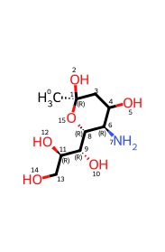 C[C@]1(O)CC(O)[C@@H](N)[C@H]([C@H](O)[C@H](O)CO)O1